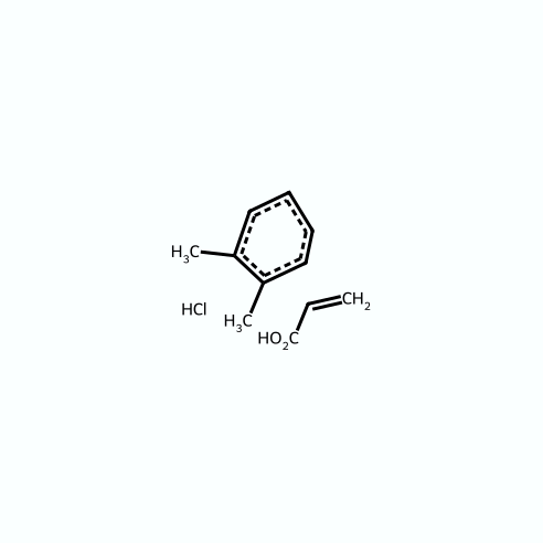 C=CC(=O)O.Cc1ccccc1C.Cl